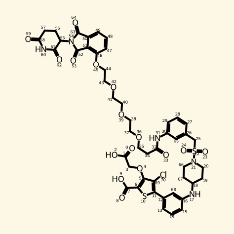 O=C(O)COc1c(C(=O)O)sc(-c2cccc(NC3CCN(S(=O)(=O)Cc4cccc(NC(=O)CCOCCOCCOCCOc5cccc6c5C(=O)N(C5CCC(=O)NC5=O)C6=O)c4)CC3)c2)c1Cl